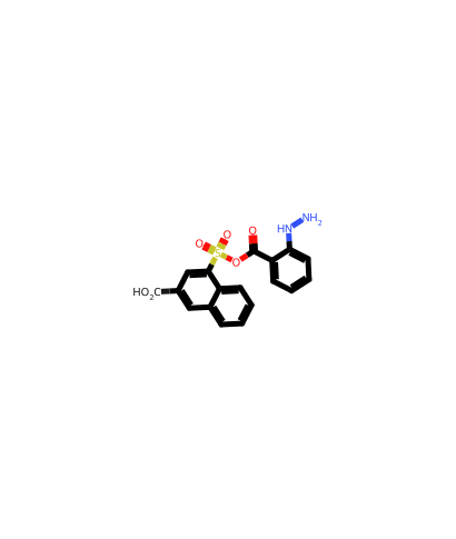 NNc1ccccc1C(=O)OS(=O)(=O)c1cc(C(=O)O)cc2ccccc12